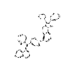 c1ccc(-c2[nH]c3c(ccc4c(-c5ccc(N(c6ccccc6)c6cccc7ccccc67)cc5)cccc43)c2-c2ccccc2)cc1